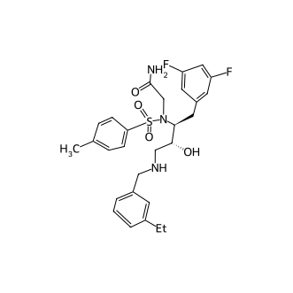 CCc1cccc(CNC[C@@H](O)[C@H](Cc2cc(F)cc(F)c2)N(CC(N)=O)S(=O)(=O)c2ccc(C)cc2)c1